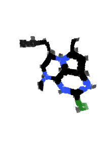 COC[C@H]1CN(C)c2nc(Cl)nc3cc(C)n1c23